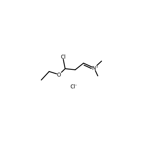 CCOC(Cl)CC=[N+](C)C.[Cl-]